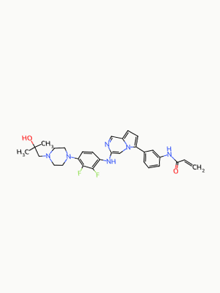 C=CC(=O)Nc1cccc(-c2ccc3cnc(Nc4ccc(N5CCN(CC(C)(C)O)CC5)c(F)c4F)cn23)c1